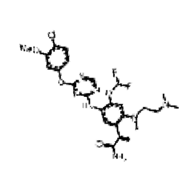 C=C(C(N)=O)c1cc(Nc2ncnc(Oc3ccc(Cl)c(OC)c3)n2)c(OC(F)F)cc1N(C)CCN(C)C